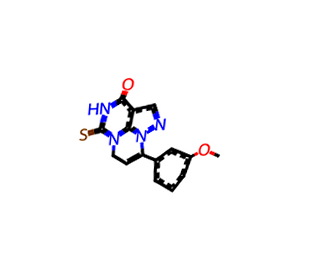 COc1cccc(C2=CCn3c(=S)[nH]c(=O)c4cnn2c43)c1